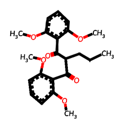 C[CH]CC(C(=O)c1c(OC)cccc1OC)C(=O)c1c(OC)cccc1OC